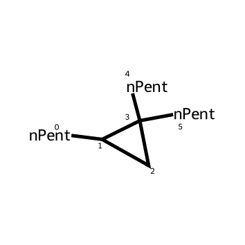 CCCCCC1CC1(CCCCC)CCCCC